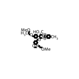 COCCCN1CCOc2ccc(CO[C@H]3CN(S(=O)(=O)c4ccc(C)cc4)[C@@H](CC(=O)O)C[C@@H]3c3ccc(COCC(C)COC)cc3)cc21